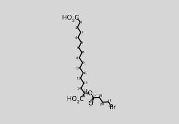 O=C(O)CCCCCCCCCCCCCCC(OC(=O)CCCBr)C(=O)O